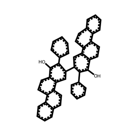 Oc1c(-c2ccccc2)c(-c2cc3c(ccc4c5ccccc5ccc34)c(O)c2-c2ccccc2)cc2c1ccc1c3ccccc3ccc21